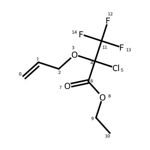 C=CCOC(Cl)(C(=O)OCC)C(F)(F)F